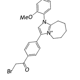 COc1ccccc1-n1cc(-c2ccc(C(=O)CBr)cc2)[n+]2c1CCCCC2